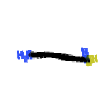 NCCCCCCCCCCCCCCCCCCCCCCCCCCCCCCCNC(=S)S